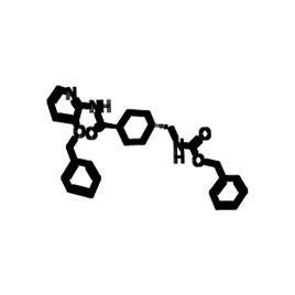 O=C(NC[C@H]1CC[C@H](C(=O)Nc2ncccc2OCc2ccccc2)CC1)OCc1ccccc1